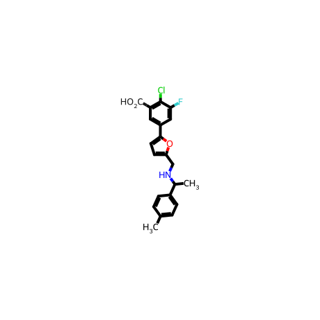 Cc1ccc(C(C)NCc2ccc(-c3cc(F)c(Cl)c(C(=O)O)c3)o2)cc1